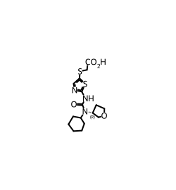 O=C(O)CSc1cnc(NC(=O)N(C2CCCCC2)[C@@H]2CCOC2)s1